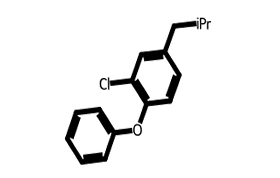 CC(C)Cc1ccc(Oc2ccccc2)c(Cl)c1